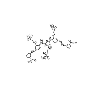 O=C(O)c1cccc(N=Nc2ccc(Nc3nc(NCCS(=O)(=O)O)nc(Nc4ccc(N=Nc5cccc(C(=O)O)c5)cc4OCCCS(=O)(=O)O)n3)c(OCCCS(=O)(=O)O)c2)c1